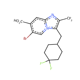 O=C(O)c1cc2nc(C(F)(F)F)c(CC3CCC(F)(F)CC3)n2cc1Br